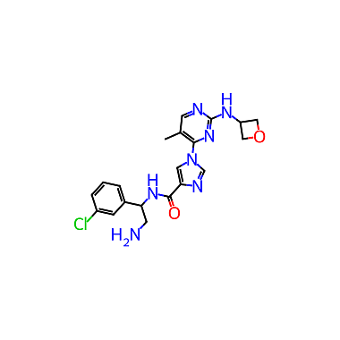 Cc1cnc(NC2COC2)nc1-n1cnc(C(=O)NC(CN)c2cccc(Cl)c2)c1